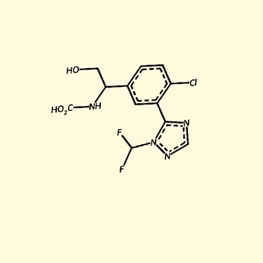 O=C(O)NC(CO)c1ccc(Cl)c(-c2ncnn2C(F)F)c1